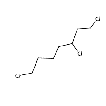 ClCCCCC(Cl)CCCl